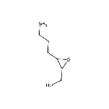 OCC1OC1CCC[SiH3]